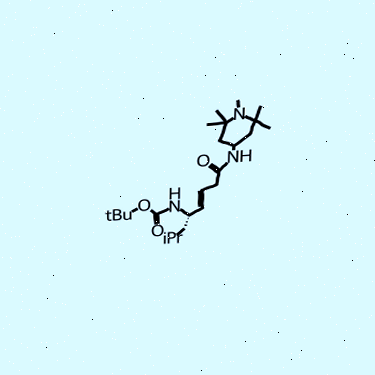 CC(C)C[C@@H](/C=C/CC(=O)NC1CC(C)(C)N(C)C(C)(C)C1)NC(=O)OC(C)(C)C